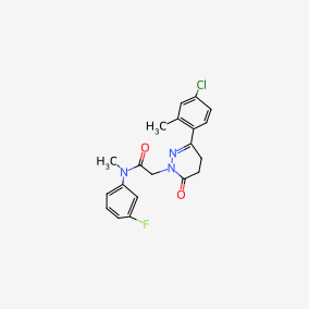 Cc1cc(Cl)ccc1C1=NN(CC(=O)N(C)c2cccc(F)c2)C(=O)CC1